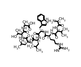 CC(C)C[C@H](NC(=O)[C@H](Cc1c[nH]c2ccccc12)NC(=O)[C@H](CCCNC(=N)N)NC(=O)[C@@H](NC(=O)[C@H](C)N)C(C)C)C(=O)N[C@@H](CC(C)C)C(=O)N[C@H](C(=O)N[C@@H](C)C(=O)O)[C@@H](C)O